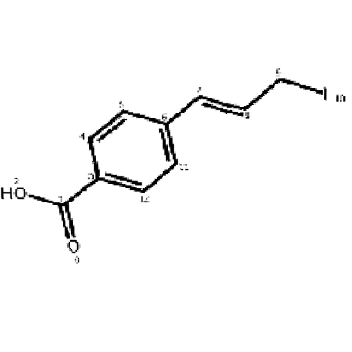 O=C(O)c1ccc(/C=C/CI)cc1